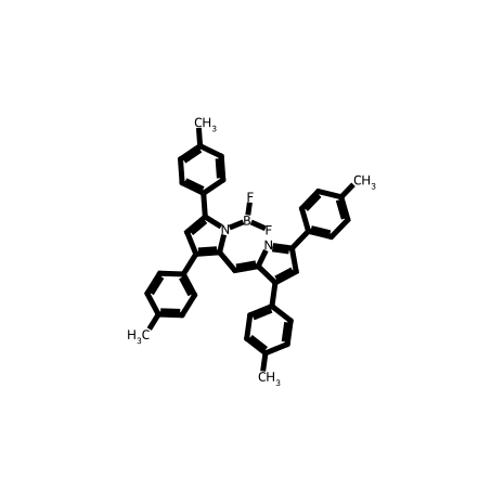 Cc1ccc(C2=CC(c3ccc(C)cc3)=N/C2=C\c2c(-c3ccc(C)cc3)cc(-c3ccc(C)cc3)n2B(F)F)cc1